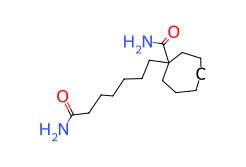 NC(=O)CCCCCCC1(C(N)=O)CCCCCC1